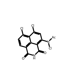 CC(=O)N(Cl)c1cc(Cl)c2c(Cl)ccc3c2c1C(=O)NC3=O